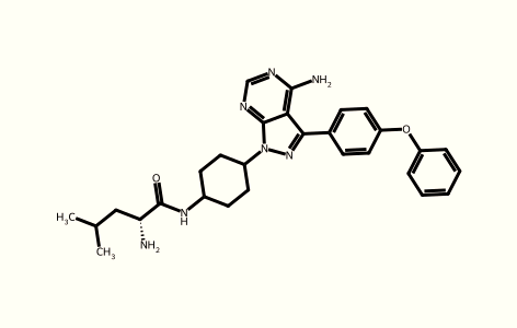 CC(C)C[C@@H](N)C(=O)NC1CCC(n2nc(-c3ccc(Oc4ccccc4)cc3)c3c(N)ncnc32)CC1